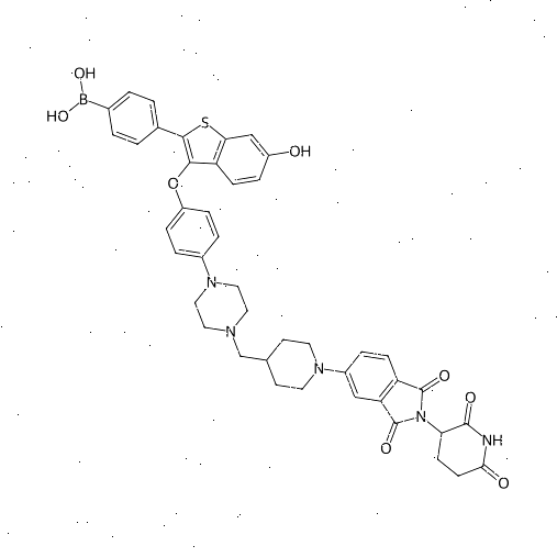 O=C1CCC(N2C(=O)c3ccc(N4CCC(CN5CCN(c6ccc(Oc7c(-c8ccc(B(O)O)cc8)sc8cc(O)ccc78)cc6)CC5)CC4)cc3C2=O)C(=O)N1